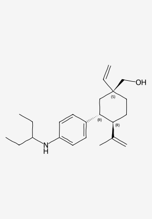 C=C[C@]1(CO)CC[C@@H](C(=C)C)[C@H](c2ccc(NC(CC)CC)cc2)C1